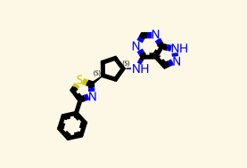 c1ccc(-c2csc([C@H]3CC[C@H](Nc4ncnc5[nH]ncc45)C3)n2)cc1